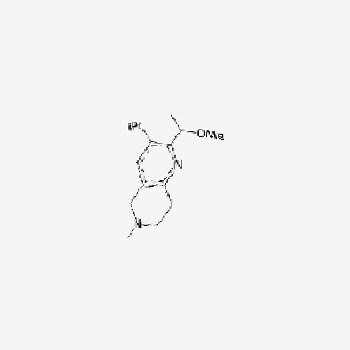 COC(C)c1nc2c(cc1C(C)C)CN(C)CC2